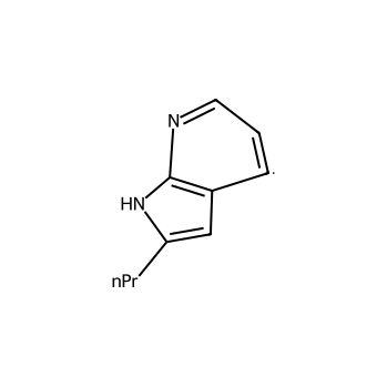 CCCc1cc2[c]ccnc2[nH]1